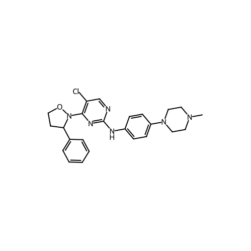 CN1CCN(c2ccc(Nc3ncc(Cl)c(N4OCCC4c4ccccc4)n3)cc2)CC1